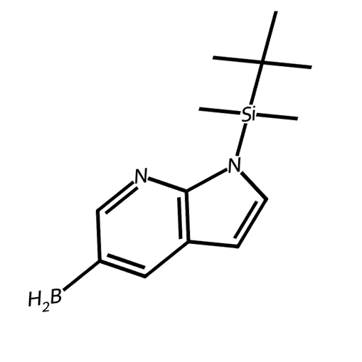 Bc1cnc2c(ccn2[Si](C)(C)C(C)(C)C)c1